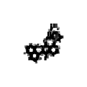 CC[C@@H]1NCCN2c3ncnc4c(F)c(-c5cccc6cccc(Cl)c56)nc(c34)OC[C@H]12